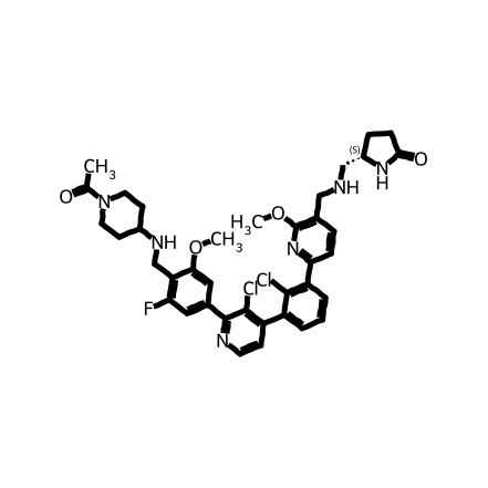 COc1cc(-c2nccc(-c3cccc(-c4ccc(CNC[C@@H]5CCC(=O)N5)c(OC)n4)c3Cl)c2Cl)cc(F)c1CNC1CCN(C(C)=O)CC1